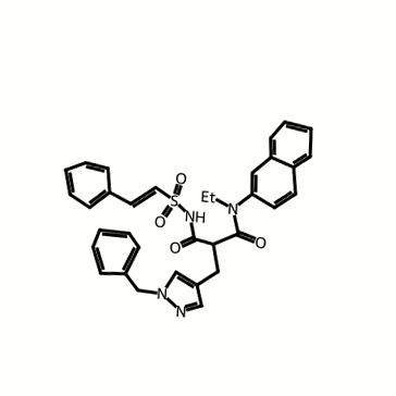 CCN(C(=O)C(Cc1cnn(Cc2ccccc2)c1)C(=O)NS(=O)(=O)C=Cc1ccccc1)c1ccc2ccccc2c1